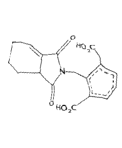 O=C(O)c1cccc(C(=O)O)c1N1C(=O)C2=CCCCC2C1=O